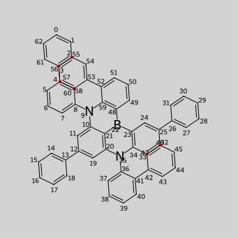 c1ccc(-c2cccc(N3c4cc(-c5ccccc5)cc5c4B(c4cc(-c6ccccc6)ccc4N5c4ccccc4-c4ccccc4)c4cccc(-c5ccccc5)c43)c2)cc1